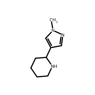 Cn1cc(C2CCCCN2)cn1